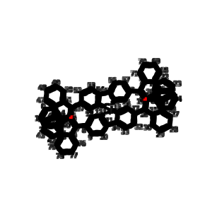 c1ccc2c(c1)cc(-c1ccc3c(c1)[Si]1(c4cc(-c5cc6ccccc6c6ccccc56)ccc4-3)c3cc(-c4cc5ccccc5c5ccccc45)ccc3-c3ccc(-c4cc5ccccc5c5ccccc45)cc31)c1ccccc12